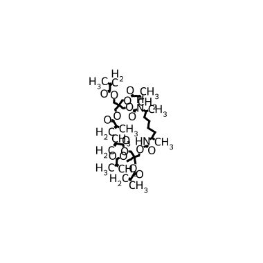 C=C(C)C(=O)OCC(COC(=O)NC(C)CCCCC(C)NC(=O)OCC(COC(=O)C(=C)C)(COC(=O)C(=C)C)COC(=O)C(=C)C)(COC(=O)C(=C)C)COC(=O)C(=C)C